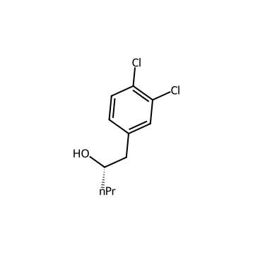 CCC[C@H](O)Cc1ccc(Cl)c(Cl)c1